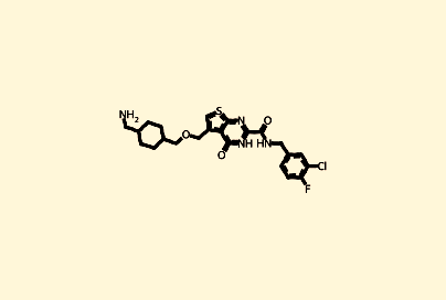 NCC1CCC(COCc2csc3nc(C(=O)NCc4ccc(F)c(Cl)c4)[nH]c(=O)c23)CC1